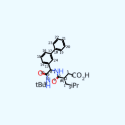 CC(C)C[C@H](CC(=O)O)C(=O)NC(C(=O)NC(C)(C)C)c1cccc(-c2ccccc2)c1